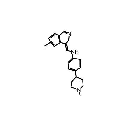 CN1CCC(c2ccc(NC=C3CN=Cc4ccc(I)cc43)cc2)CC1